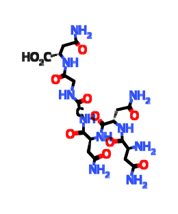 NC(=O)C[C@H](NC(=O)CNC(=O)CNC(=O)[C@H](CC(N)=O)NC(=O)[C@H](CC(N)=O)NC(=O)[C@@H](N)CC(N)=O)C(=O)O